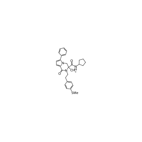 CSc1ccc(CCN2C(=O)c3ccc(-c4ccccc4)n3CC2(C)C(=O)NC2CCCC2)cc1